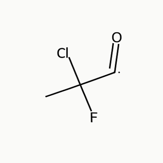 CC(F)(Cl)[C]=O